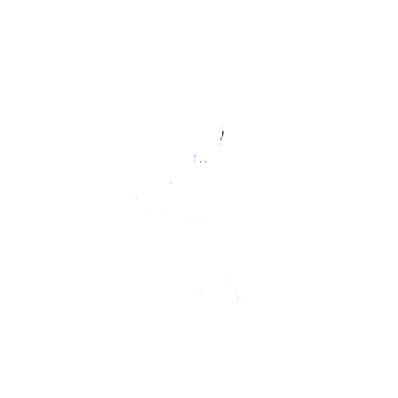 CC[C@H](C)NCCS(=O)(=O)Cc1ccc(Br)cc1